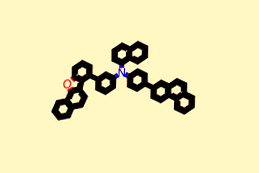 c1cc(-c2cccc3oc4c5ccccc5ccc4c23)cc(N(c2ccc(-c3ccc4c(ccc5ccccc54)c3)cc2)c2cccc3ccccc23)c1